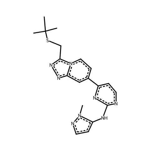 Cn1nccc1Nc1nccc(-c2ccn3c(CSC(C)(C)C)nnc3c2)n1